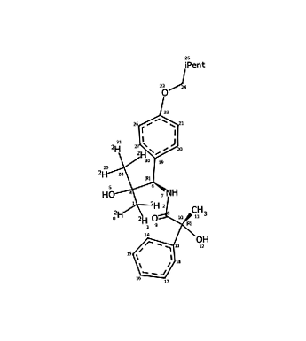 [2H]C([2H])([2H])C(O)([C@H](NC(=O)[C@](C)(O)c1ccccc1)c1ccc(OCC(C)CCC)cc1)C([2H])([2H])[2H]